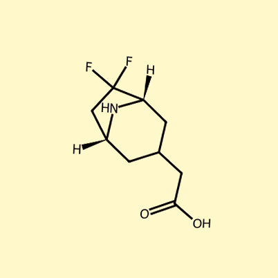 O=C(O)CC1C[C@@H]2CC(F)(F)[C@H](C1)N2